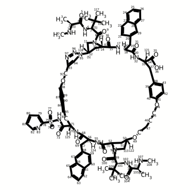 CN[C@@H](C)C(=O)N[C@H](C(=O)N1C[C@@H]2C[C@H]1C(=O)N[C@@H](Cc1ccc3ccccc3c1)C(=O)N[C@H](C(=O)O)Cc1ccc(cc1)OCCCCO[C@H]1C[C@@H](C(=O)N[C@@H](Cc3ccc4ccccc4c3)C(=O)N[C@H](C(=O)NS(=O)(=O)c3ccccn3)Cc3ccc(cc3)OCc3cn2nn3)N(C(=O)[C@@H](NC(=O)[C@H](C)NC)C(C)(C)C)C1)C(C)(C)C